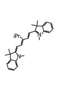 CC(C)C(/C=C/C1=[N+](C)c2ccccc2C1(C)C)=C\C=C1/N(C)c2ccccc2C1(C)C